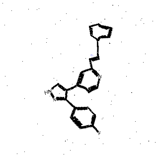 Fc1ccc(-c2n[nH]cc2-c2ccnc(/C=C/c3ccccc3)c2)cc1